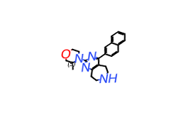 C[C@H]1COCCN1c1nc2c(c(-c3ccc4ccccc4c3)n1)CCNCC2